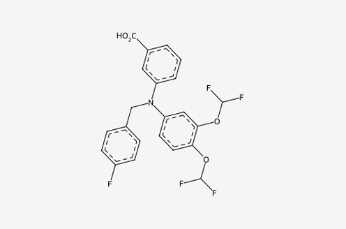 O=C(O)c1cccc(N(Cc2ccc(F)cc2)c2ccc(OC(F)F)c(OC(F)F)c2)c1